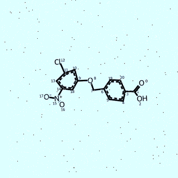 O=C(O)c1ccc(COc2cc(Cl)cc([N+](=O)[O-])c2)cc1